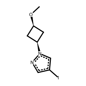 CO[C@H]1C[C@@H](n2cc(I)cn2)C1